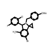 COc1ccc(CN2C(c3cc(F)ccc3Cl)c3c(N)cc(Br)cc3C23CC3)cc1